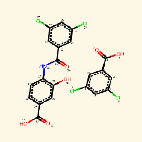 O=C(O)c1cc(Cl)cc(Cl)c1.O=C(O)c1ccc(NC(=O)c2cc(Cl)cc(Cl)c2)c(O)c1